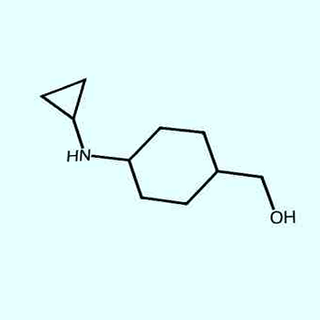 OCC1CCC(NC2CC2)CC1